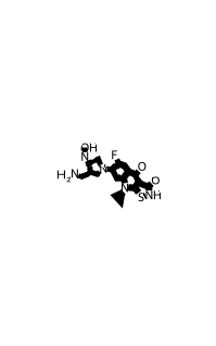 NCC1CN(c2cc3c(cc2F)c(=O)c2c(=O)[nH]sc2n3C2CC2)CC1=NO